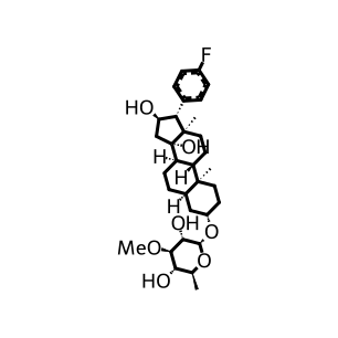 CO[C@H]1[C@H](O)[C@H](O[C@H]2CC[C@@]3(C)[C@H](CC[C@@H]4[C@@H]3CC[C@]3(C)[C@@H](c5ccc(F)cc5)[C@H](O)C[C@]43O)C2)O[C@@H](C)[C@@H]1O